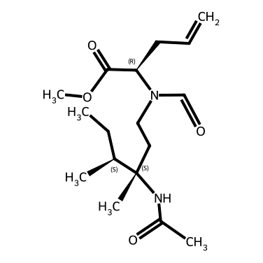 C=CC[C@H](C(=O)OC)N(C=O)CC[C@](C)(NC(C)=O)[C@@H](C)CC